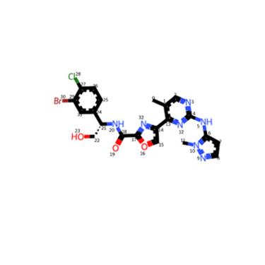 Cc1cnc(Nc2ccnn2C)nc1-c1coc(C(=O)N[C@H](CO)c2ccc(Cl)c(Br)c2)n1